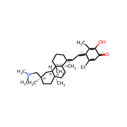 CCC1=CC(=O)C(O)=C(C)/C1=C/C=C1\CCC[C@@]2(C)[C@@H]3C[C@](C)(CN(C)C)CC[C@]3(C)CC[C@]12C